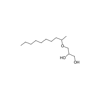 CCCCCCCCC(C)OCC(O)CO